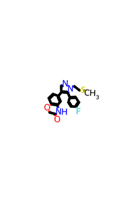 CSCCn1ncc(-c2ccc3c(c2)NC(=O)CO3)c1-c1ccc(F)cc1